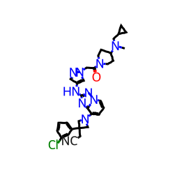 CN(CC1CC1)C1CCN(C(=O)Cn2cc(Nc3nc4c(N5CC(CC#N)(c6cccc(Cl)c6)C5)cccn4n3)cn2)CC1